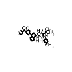 Cc1ccc(-n2nc(C(C)(C)C)cc2NC(=O)Nc2ccc(C3=CC(=O)C(C(=O)C4CCSC4)CC3)c3ccccc23)cc1